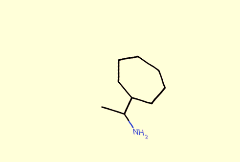 CC(N)C1CCCCCC1